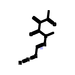 C=C(C(C)=O)C(=O)N(C)/N=C/N=[N+]=[N-]